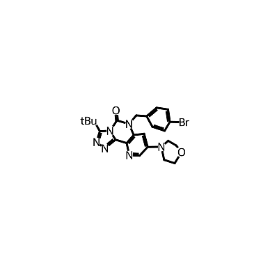 CC(C)(C)c1nnc2c3ncc(N4CCOCC4)cc3n(Cc3ccc(Br)cc3)c(=O)n12